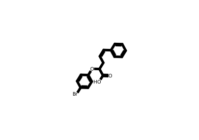 O=C(O)C(C/C=C\c1ccccc1)Oc1ccc(Br)cc1